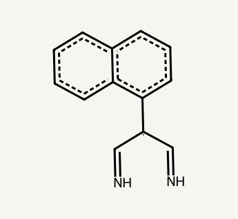 N=C[C](C=N)c1cccc2ccccc12